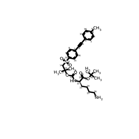 Cc1ccc(C#Cc2ccc(S(=O)(=O)CC(C)(C)OC(=O)N[C@H](CCCCN)C(=O)OC(C)(C)C)cc2)cc1